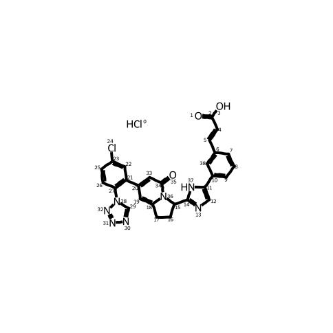 Cl.O=C(O)C=Cc1cccc(-c2cnc(C3CCc4cc(-c5cc(Cl)ccc5-n5cnnn5)cc(=O)n43)[nH]2)c1